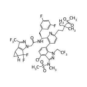 CN(c1nn(CC(F)(F)F)c2c(-c3ccc(CCC(C)(C)S(C)(=O)=O)nc3[C@H](Cc3cc(F)cc(F)c3)NC(=O)Cn3nc(C(F)(F)F)c4c3C(F)(F)[C@@H]3CC43)ccc(Cl)c12)S(C)(=O)=O